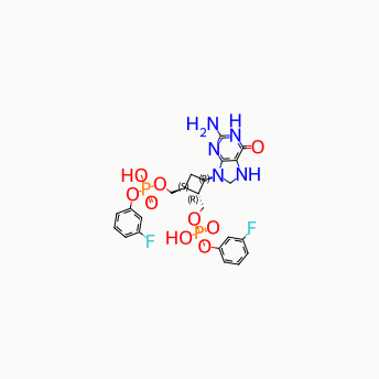 Nc1nc2c(c(=O)[nH]1)NCN2[C@@H]1C[C@H](COP(=O)(O)Oc2cccc(F)c2)[C@H]1COP(=O)(O)Oc1cccc(F)c1